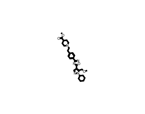 COCc1c(-c2nc(-c3ccc(CCN4CCC(C(=O)OC)CC4)cc3)no2)cnn1C1CCCCC1